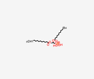 CCCCCCCCCCCCCCCCCCCC(=O)OC[C@H](COP(=O)(O)O)OC(=O)CCCCCCCCC(C)CC